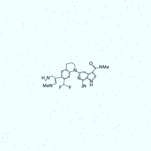 CN/C=C(\CN)c1cc2c(cc1C(F)F)N(c1cc3c(C(=O)NC)c[nH]c3c(C(C)C)n1)CCC2